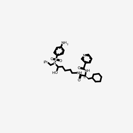 CC(C)CN(C(O)CCCCNC(=O)[C@H](CC1CCCCC1)NC(=O)c1cccnc1)S(=O)(=O)c1ccc(N)cc1